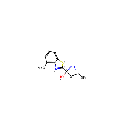 COc1cccc2sc(C(N)(O)CCC(C)C)nc12